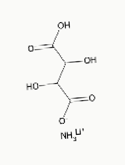 N.O=C([O-])C(O)C(O)C(=O)O.[Li+]